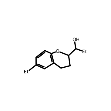 CCc1ccc2c(c1)CCC(C(O)CC)O2